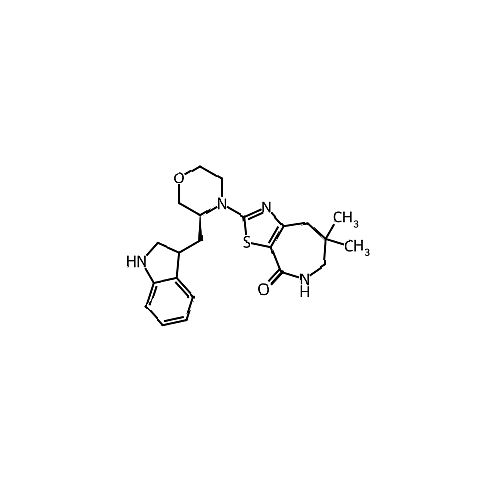 CC1(C)CNC(=O)c2sc(N3CCOC[C@@H]3CC3CNc4ccccc43)nc2C1